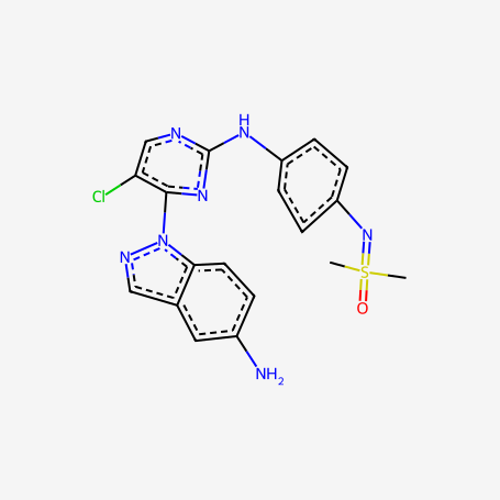 CS(C)(=O)=Nc1ccc(Nc2ncc(Cl)c(-n3ncc4cc(N)ccc43)n2)cc1